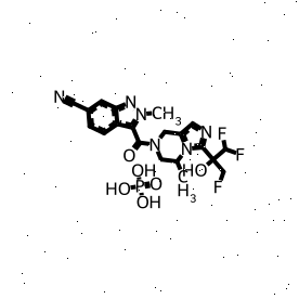 CC1CN(C(=O)c2c3ccc(C#N)cc3nn2C)Cc2cnc(C(O)(CF)C(F)F)n21.O=P(O)(O)O